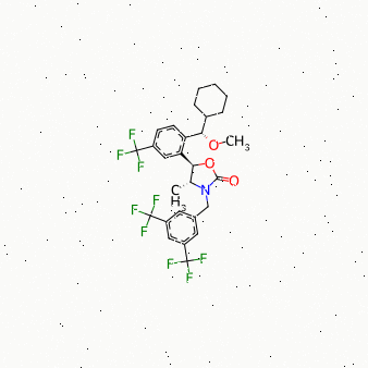 CO[C@H](c1ccc(C(F)(F)F)cc1[C@H]1OC(=O)N(Cc2cc(C(F)(F)F)cc(C(F)(F)F)c2)[C@@H]1C)C1CCCCC1